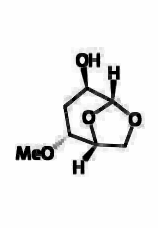 CO[C@@H]1C[C@@H](O)[C@@H]2OC[C@H]1O2